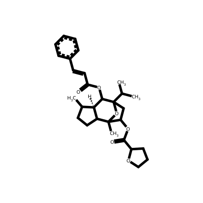 CC1CCC2[C@@H]1C(OC(=O)/C=C/c1ccccc1)C1(C(C)C)CC(OC(=O)C3CCCO3)C2(C)O1